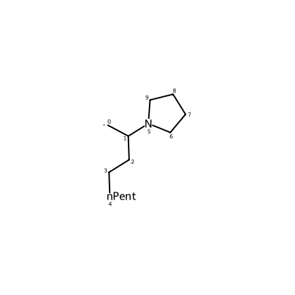 [CH2]C(CCCCCCC)N1CCCC1